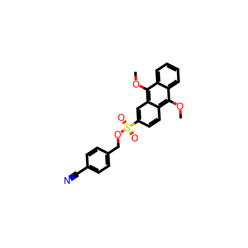 COc1c2ccccc2c(OC)c2cc(S(=O)(=O)OCc3ccc(C#N)cc3)ccc12